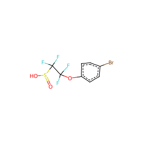 O=S(O)C(F)(F)C(F)(F)Oc1ccc(Br)cc1